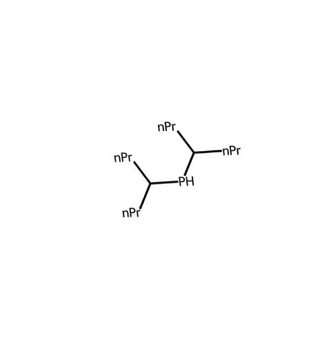 CCCC(CCC)PC(CCC)CCC